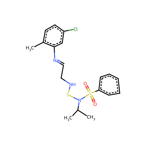 Cc1ccc(Cl)cc1N=CCNSN(C(C)C)S(=O)(=O)c1ccccc1